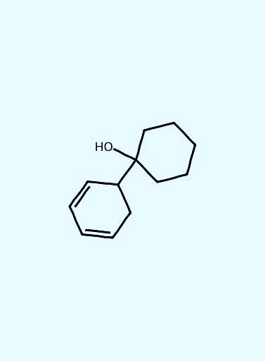 OC1(C2C=CC=CC2)CCCCC1